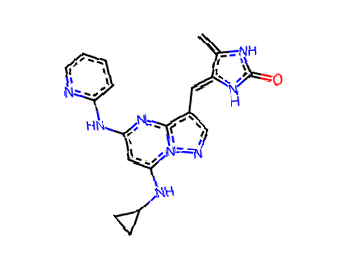 C=c1[nH]c(=O)[nH]/c1=C\c1cnn2c(NC3CC3)cc(Nc3ccccn3)nc12